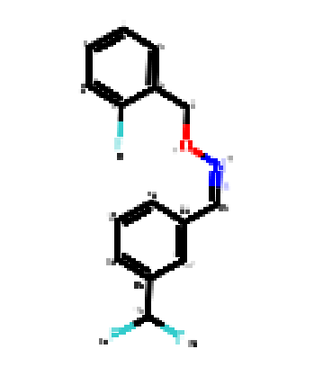 Fc1ccccc1CO/N=[C]\c1cccc(C(F)F)c1